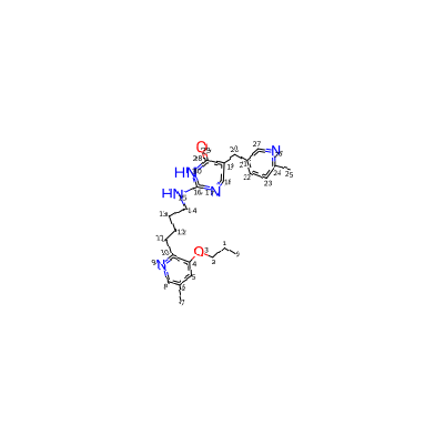 CCCOc1cc(C)cnc1CCCCNc1ncc(Cc2ccc(C)nc2)c(=O)[nH]1